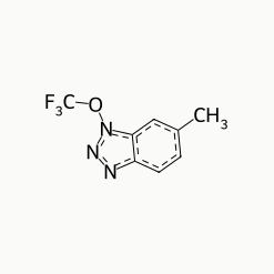 Cc1ccc2nnn(OC(F)(F)F)c2c1